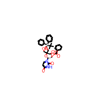 CC(C)(C)[Si](OCC(CO)(CO)O[C@H](COC(=O)c1ccccc1)n1ccc(=O)[nH]c1=O)(c1ccccc1)c1ccccc1